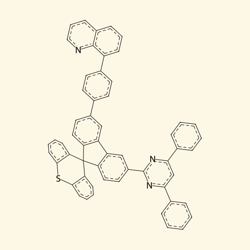 c1ccc(-c2cc(-c3ccccc3)nc(-c3ccc4c(c3)-c3cc(-c5ccc(-c6cccc7cccnc67)cc5)ccc3C43c4ccccc4Sc4ccccc43)n2)cc1